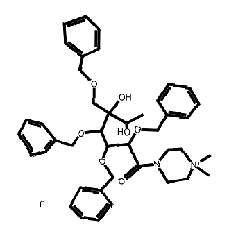 CC(O)C(O)(COCc1ccccc1)C(OCc1ccccc1)C(OCc1ccccc1)C(OCc1ccccc1)C(=O)N1CC[N+](C)(C)CC1.[I-]